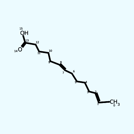 C/C=C/CCCC/C=C/CCCCC(=O)O